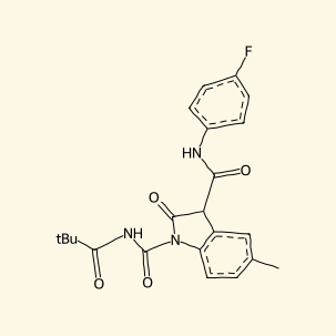 Cc1ccc2c(c1)C(C(=O)Nc1ccc(F)cc1)C(=O)N2C(=O)NC(=O)C(C)(C)C